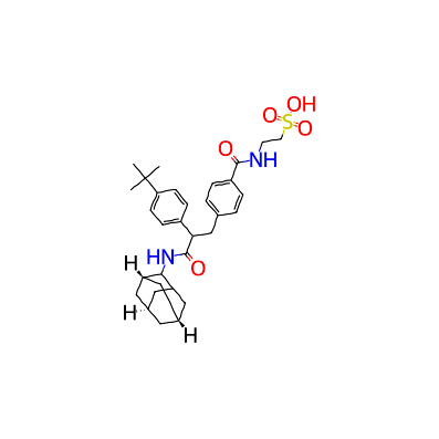 CC(C)(C)c1ccc(C(Cc2ccc(C(=O)NCCS(=O)(=O)O)cc2)C(=O)NC2C3C[C@H]4C[C@@H](C3)C[C@@H]2C4)cc1